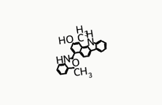 CCc1ccccc1NC(=O)c1cc(O)c(C)c2c1ccc1c3ccccc3[nH]c12